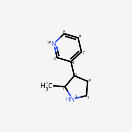 CC1NCCC1c1cccnc1